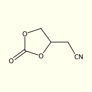 N#CCC1COC(=O)O1